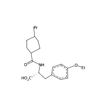 CCOc1ccc(C[C@@H](NC(=O)C2CCC(C(C)C)CC2)C(=O)O)cc1